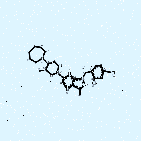 Cc1nn([C@H](C)c2ccc(Cl)cc2Cl)c2nc(N3CC[C@H](N4CCCCCC4)[C@H](C)C3)cnc12